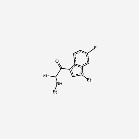 CCNC(CC)C(=O)c1cn(CC)c2cc(F)ccc12